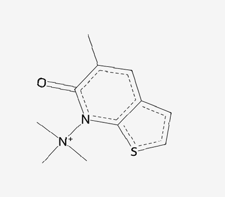 Cc1cc2ccsc2n([N+](C)(C)C)c1=O